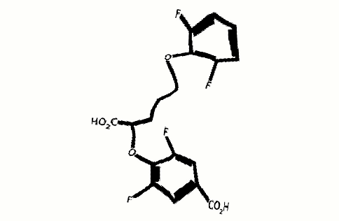 O=C(O)c1cc(F)c(OC(CCCOc2c(F)cccc2F)C(=O)O)c(F)c1